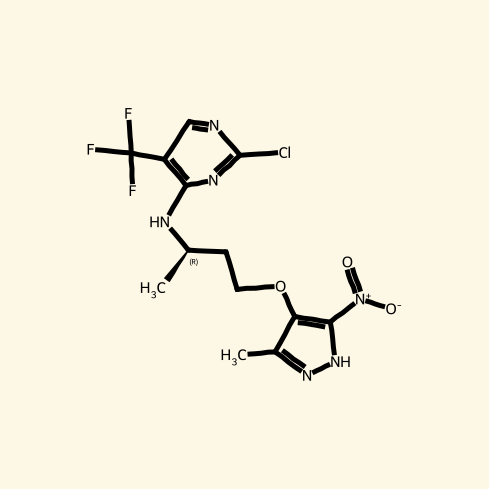 Cc1n[nH]c([N+](=O)[O-])c1OCC[C@@H](C)Nc1nc(Cl)ncc1C(F)(F)F